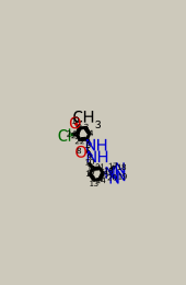 COc1ccc(NC(=O)NCc2cccc(-n3cnnn3)c2)cc1Cl